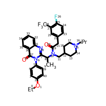 CCOc1ccc(-n2c(C(C)N(CC3CCN(C(C)C)CC3)C(=O)Cc3ccc(F)c(C(F)(F)F)c3)nc3ccccc3c2=O)cc1